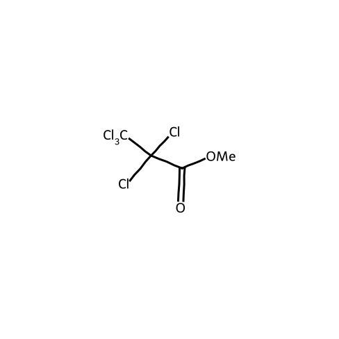 COC(=O)C(Cl)(Cl)C(Cl)(Cl)Cl